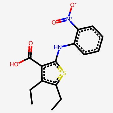 CCc1sc(Nc2ccccc2[N+](=O)[O-])c(C(=O)O)c1CC